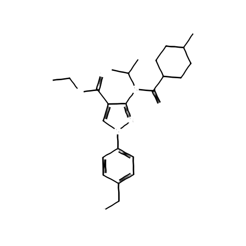 CCOC(=O)c1cn(-c2ccc(CI)cc2)nc1N(C(=O)C1CCC(C)CC1)C(C)C